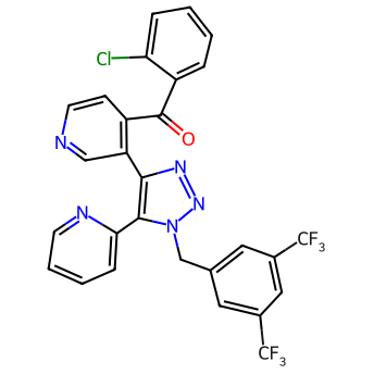 O=C(c1ccccc1Cl)c1ccncc1-c1nnn(Cc2cc(C(F)(F)F)cc(C(F)(F)F)c2)c1-c1ccccn1